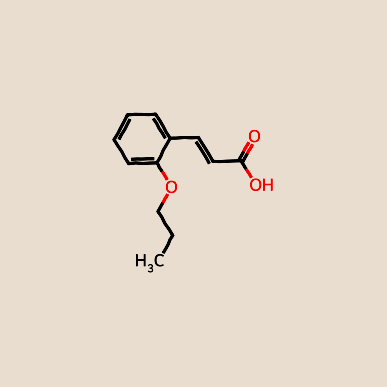 CCCOc1ccccc1C=CC(=O)O